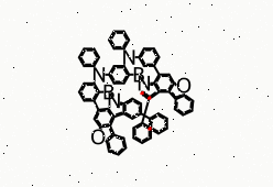 c1ccc(-c2ccc3c(c2)c2c4c(cc5c2n3B2c3cc6c(cc3N(c3ccccc3)c3cccc-5c32)N(c2ccccc2)c2cccc3c2B6n2c5ccc(-c6ccccc6)cc5c5c6c(cc-3c52)oc2ccccc26)oc2ccccc24)cc1